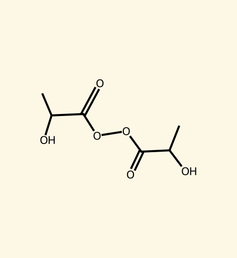 CC(O)C(=O)OOC(=O)C(C)O